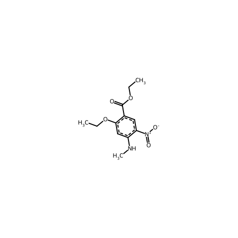 CCOC(=O)c1cc([N+](=O)[O-])c(NC)cc1OCC